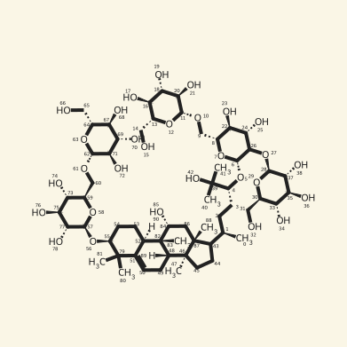 C[C@H](CC[C@@H](O[C@@H]1O[C@H](CO[C@@H]2O[C@H](CO)[C@@H](O)[C@H](O)[C@H]2O)[C@@H](O)[C@H](O)C1O[C@@H]1O[C@H](CO)[C@@H](O)[C@H](O)[C@H]1O)C(C)(C)O)C1CC[C@@]2(C)[C@@H]3CC=C4[C@@H](CC[C@H](O[C@@H]5O[C@H](CO[C@@H]6O[C@H](CO)[C@@H](O)[C@H](O)[C@H]6O)[C@@H](O)[C@H](O)[C@H]5O)C4(C)C)[C@]3(C)[C@H](O)C[C@]12C